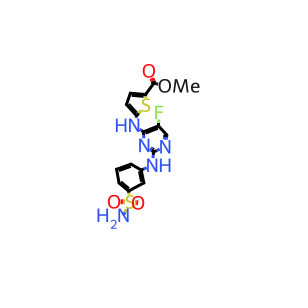 COC(=O)c1ccc(Nc2nc(Nc3cccc(S(N)(=O)=O)c3)ncc2F)s1